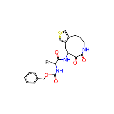 CC(C)C(NC(=O)OCc1ccccc1)C(=O)NC1Cc2cscc2CCCNC(=O)C1=O